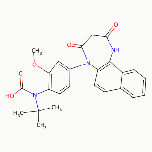 COc1cc(N2C(=O)CC(=O)Nc3c2ccc2ccccc32)ccc1N(C(=O)O)C(C)(C)C